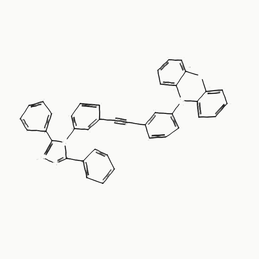 C(#Cc1cccc(-n2c(-c3ccccc3)nnc2-c2ccccc2)c1)c1cccc(N2c3ccccc3Oc3ccccc32)c1